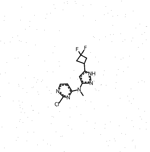 CN(c1cc(C2CC(F)(F)C2)[nH]n1)c1ccnc(Cl)n1